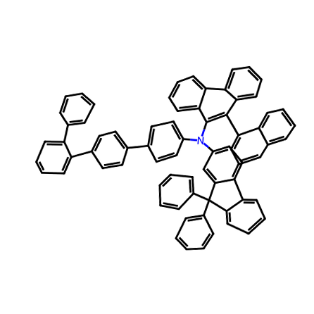 c1ccc(-c2ccccc2-c2ccc(-c3ccc(N(c4ccc5c(c4)C(c4ccccc4)(c4ccccc4)c4ccccc4-5)c4c(-c5cccc6ccccc56)c5ccccc5c5ccccc45)cc3)cc2)cc1